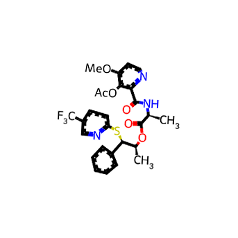 COc1ccnc(C(=O)N[C@@H](C)C(=O)O[C@@H](C)[C@H](Sc2ccc(C(F)(F)F)cn2)c2ccccc2)c1OC(C)=O